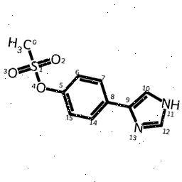 CS(=O)(=O)Oc1ccc(-c2c[nH]cn2)cc1